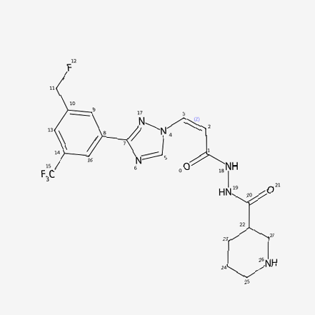 O=C(/C=C\n1cnc(-c2cc(CF)cc(C(F)(F)F)c2)n1)NNC(=O)C1CCCNC1